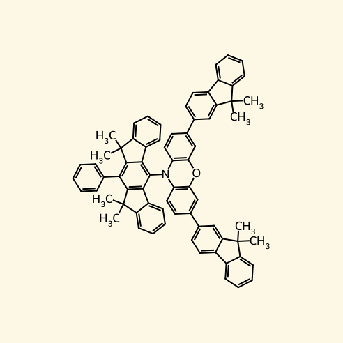 CC1(C)c2ccccc2-c2ccc(-c3ccc4c(c3)Oc3cc(-c5ccc6c(c5)C(C)(C)c5ccccc5-6)ccc3N4c3c4c(c(-c5ccccc5)c5c3-c3ccccc3C5(C)C)C(C)(C)c3ccccc3-4)cc21